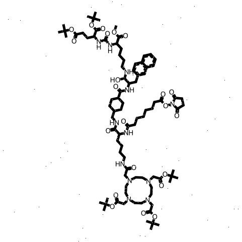 COC(=O)C(CCCCNC(O)C(Cc1ccc2ccccc2c1)NC(=O)C1CCC(CNC(=O)C(CCCCNC(=O)CN2CCN(CC(=O)OC(C)(C)C)CCN(CC(=O)OC(C)(C)C)CCN(CC(=O)OC(C)(C)C)CC2)NC(=O)CCCCCCC(=O)ON2C(=O)CCC2=O)CC1)NC(=O)NC(CCC(=O)OC(C)(C)C)C(=O)OC(C)(C)C